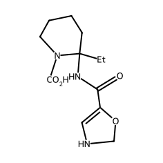 CCC1(NC(=O)C2=CNCO2)CCCCN1C(=O)O